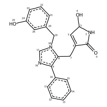 O=C1NC(O)C=C1Cc1c(-c2ccccc2)ncn1Cc1cccc(O)c1